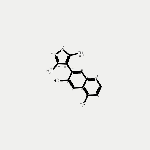 Cc1cc2c(O)ccnc2cc1-c1c(C)noc1C